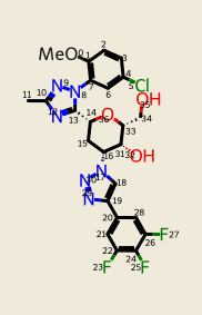 COc1ccc(Cl)cc1-n1nc(C)nc1[C@H]1C[C@@H](n2cc(-c3cc(F)c(F)c(F)c3)nn2)[C@@H](O)[C@@H](CO)O1